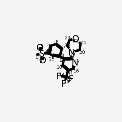 CS(=O)(=O)c1cccc(-c2cc(C(F)(F)F)cnc2N2CCOCC2)c1